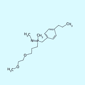 CCCc1ccc(CP(C)(CCCOCCOC)=NC)cc1